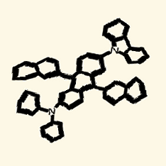 c1ccc(N(c2ccccc2)c2ccc3c(-c4ccc5ccccc5c4)c4cc(-n5c6ccccc6c6ccccc65)ccc4c(-c4ccc5ccccc5c4)c3c2)cc1